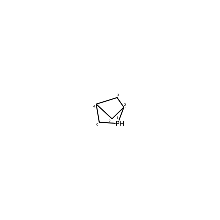 C1P[C]2CC1C2